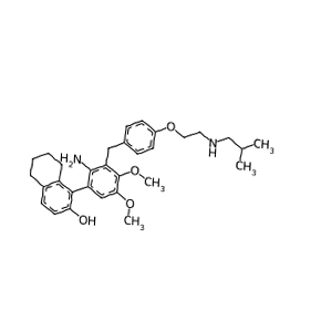 COc1cc(-c2c(O)ccc3c2CCCC3)c(N)c(Cc2ccc(OCCNCC(C)C)cc2)c1OC